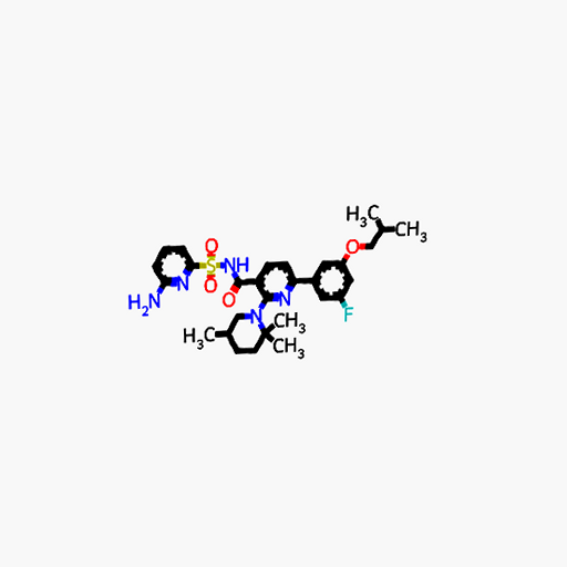 CC(C)COc1cc(F)cc(-c2ccc(C(=O)NS(=O)(=O)c3cccc(N)n3)c(N3CC(C)CCC3(C)C)n2)c1